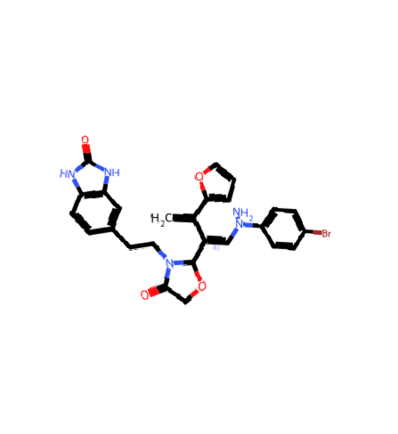 C=C(/C(=C\N(N)c1ccc(Br)cc1)C1OCC(=O)N1CCc1ccc2[nH]c(=O)[nH]c2c1)c1ccco1